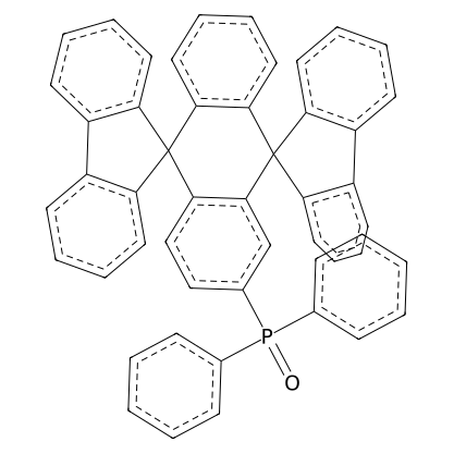 O=P(c1ccccc1)(c1ccccc1)c1ccc2c(c1)C1(c3ccccc3-c3ccccc31)c1ccccc1C21c2ccccc2-c2ccccc21